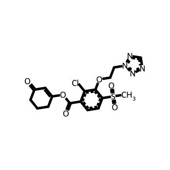 CS(=O)(=O)c1ccc(C(=O)OC2=CC(=O)CCC2)c(Cl)c1OCCn1ncnn1